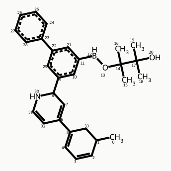 CC1C=CC=C(C2=CC(c3cc(BOC(C)(C)C(C)(C)O)cc(-c4ccccc4)c3)NC=C2)C1